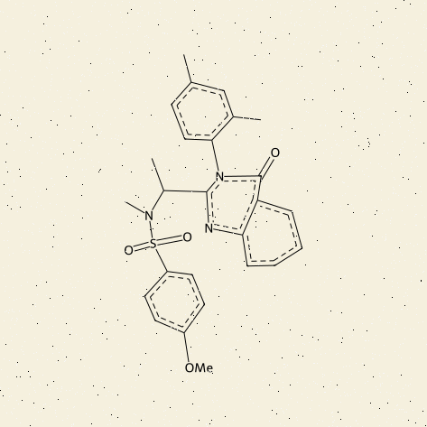 COc1ccc(S(=O)(=O)N(C)C(C)c2nc3ccccc3c(=O)n2-c2ccc(C)cc2C)cc1